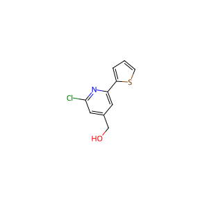 OCc1cc(Cl)nc(-c2cccs2)c1